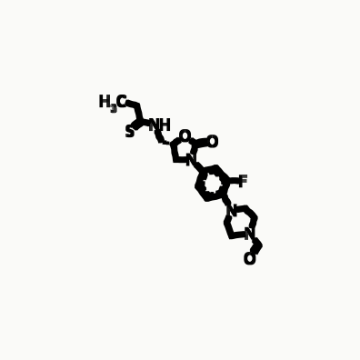 CCC(=S)NC[C@H]1CN(c2ccc(N3CCN(C=O)CC3)c(F)c2)C(=O)O1